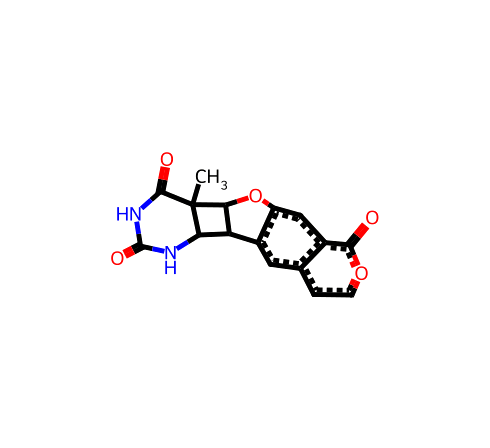 CC12C(=O)NC(=O)NC1C1c3cc4ccoc(=O)c4cc3OC12